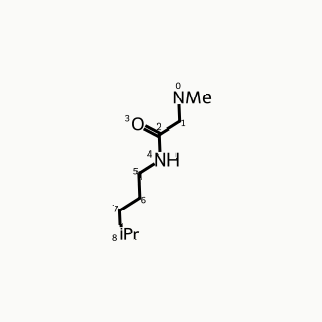 CNCC(=O)NCCCC(C)C